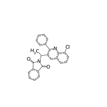 CC(c1cc2cccc(Cl)c2nc1-c1ccccc1)N1C(=O)c2ccccc2C1=O